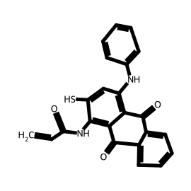 C=CC(=O)Nc1c(S)cc(Nc2ccccc2)c2c1C(=O)c1ccccc1C2=O